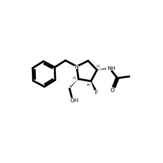 CC(=O)N[C@H]1CN(Cc2ccccc2)[C@@H](CO)[C@@H]1F